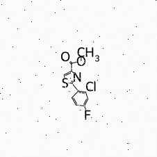 COC(=O)c1csc(-c2ccc(F)cc2Cl)n1